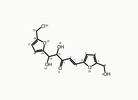 O=C(/C=C/c1ccc(CO)o1)C(O)C(O)c1ccc(CCl)o1